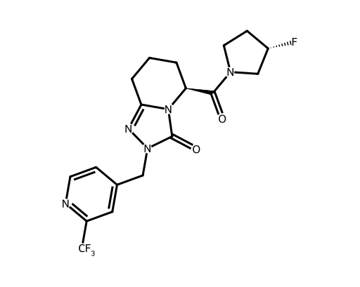 O=C([C@@H]1CCCc2nn(Cc3ccnc(C(F)(F)F)c3)c(=O)n21)N1CC[C@H](F)C1